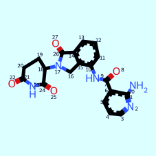 Nc1ncccc1C(=O)Nc1cccc2c1CN(C1CCC(=O)NC1=O)C2=O